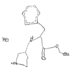 CC(C)(C)OC(=O)C(Cc1ccccc1)NC1CCNC1.Cl